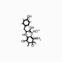 CC1C(Cl)=C(NC(Cc2ccc(O)cc2)C(=O)O)C=C(N)C1(C)Cl.Cl